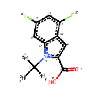 [2H]C([2H])([2H])n1c(C(=O)O)cc2c(F)cc(F)cc21